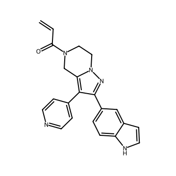 C=CC(=O)N1CCn2nc(-c3ccc4[nH]ccc4c3)c(-c3ccncc3)c2C1